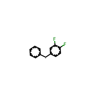 Fc1ccc([CH]c2ccccc2)cc1F